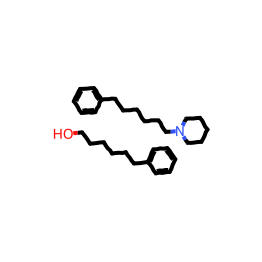 OCCCCCCc1ccccc1.c1ccc(CCCCCCN2CCCCC2)cc1